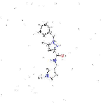 Cc1cc(C(=O)NCC2CCN(C#N)C2)nn1Cc1ccccc1